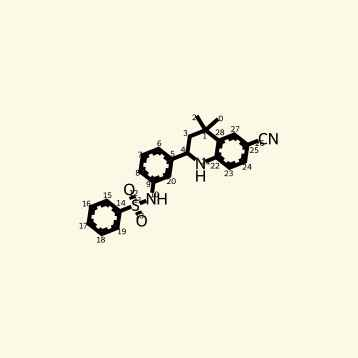 CC1(C)CC(c2cccc(NS(=O)(=O)c3ccccc3)c2)Nc2ccc(C#N)cc21